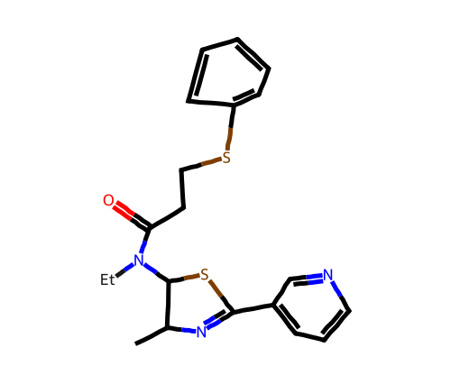 CCN(C(=O)CCSc1ccccc1)C1SC(c2cccnc2)=NC1C